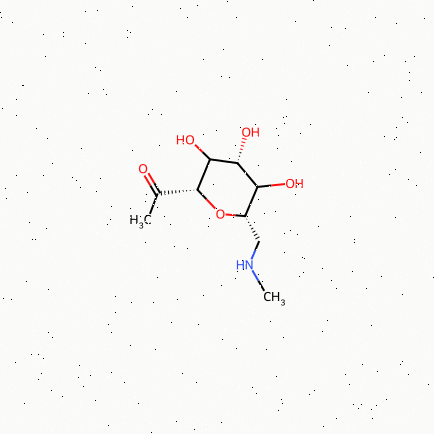 CNC[C@@H]1O[C@H](C(C)=O)C(O)[C@H](O)C1O